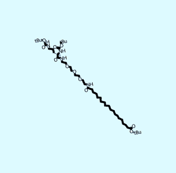 CC(C)(C)OC(=O)CCCCCCCCCCCCCCCCCCC(=O)NCCOCCOCCOCCNC(=O)[C@H](CCCNC(=O)OC(C)(C)C)NC(=O)OC(C)(C)C